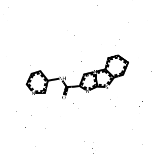 O=C(Nc1cccnc1)c1cn2c(n1)sc1ccccc12